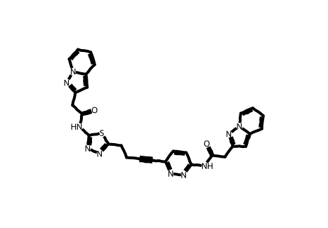 O=C(Cc1cc2ccccn2n1)Nc1ccc(C#CCCc2nnc(NC(=O)Cc3cc4ccccn4n3)s2)nn1